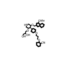 COc1cc(CO[C@H]2CNC[C@@H](OCC(O)CO)[C@@H]2c2ccc(OCCCOc3ccccc3C#N)cc2)cc2ccccc12